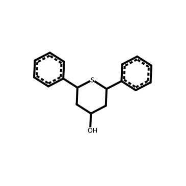 OC1CC(c2ccccc2)SC(c2ccccc2)C1